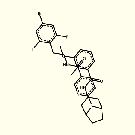 COc1cccc(C(=O)NC2CC3CCC(C2)N3c2ccc(C(=O)NCCc3c(F)cc(Br)cc3F)cn2)c1C